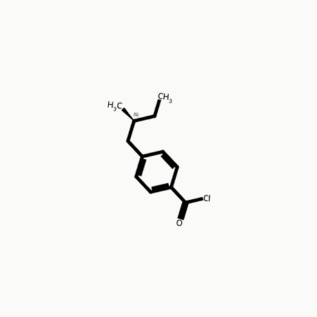 CC[C@H](C)Cc1ccc(C(=O)Cl)cc1